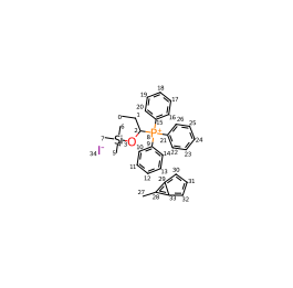 CCC(O[Si](C)(C)C)[P+](c1ccccc1)(c1ccccc1)c1ccccc1.Cc1c2cccc1-2.[I-]